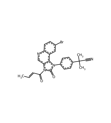 C/C=C/C(=O)n1c(=O)n(-c2ccc(C(C)(C)C#N)cc2)c2c3cc(Br)ccc3ncc21